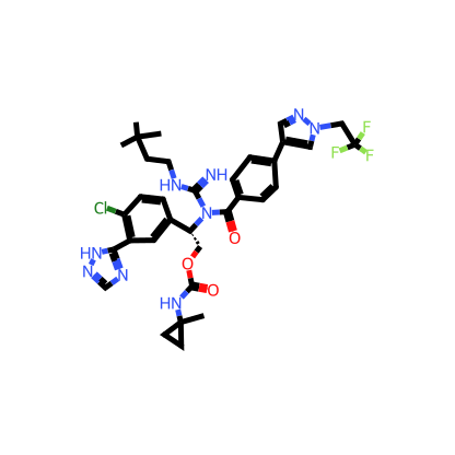 CC(C)(C)CCNC(=N)N(C(=O)c1ccc(-c2cnn(CC(F)(F)F)c2)cc1)[C@H](COC(=O)NC1(C)CC1)c1ccc(Cl)c(-c2ncn[nH]2)c1